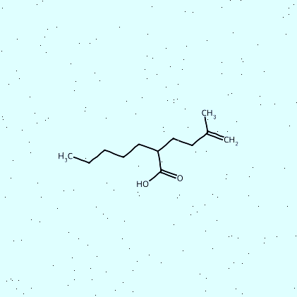 C=C(C)CCC(CCCCC)C(=O)O